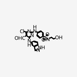 O=Cc1c(Cl)nc(Nc2ccc(S(=O)(=O)NCCO)cc2)nc1Nc1ccc2[nH]ncc2c1